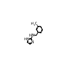 Cc1cccc(CNc2ncc[nH]2)c1